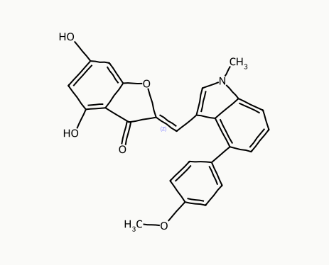 COc1ccc(-c2cccc3c2c(/C=C2\Oc4cc(O)cc(O)c4C2=O)cn3C)cc1